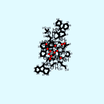 CC[C@H](C)[C@H](NC(=O)CNC(=O)[C@H](CSC(c1ccccc1)(c1ccccc1)c1ccccc1)NC(=O)OCC1c2ccccc2-c2ccccc21)C(=O)N[C@@H](CC(=O)NC(c1ccccc1)(c1ccccc1)c1ccccc1)C(=O)N[C@H](C(=O)N[C@@H](C)C(=O)N[C@@H](COC(C)(C)C)C(=O)N[C@H](C(=O)N1CCC[C@H]1C(=O)N1CCC[C@H]1C(=O)N[C@H](C(=O)N[C@@H](CS)C(=O)O)[C@@H](C)CC)[C@@H](C)CC)[C@@H](C)OC(C)(C)C